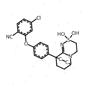 N#Cc1ccc(Cl)cc1Oc1ccc(C23CCC(CC2)N2CCS(O)(O)N=C23)cc1